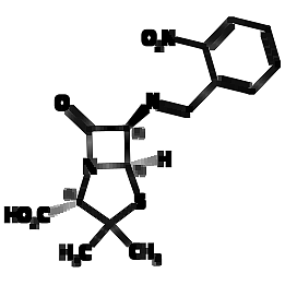 CC1(C)S[C@@H]2[C@H](N=Cc3ccccc3[N+](=O)[O-])C(=O)N2[C@H]1C(=O)O